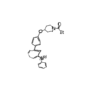 CCC(=O)N1CCC(Oc2ccc(C3=CC(Nc4ccccc4)=CCC=C3)cc2)CC1